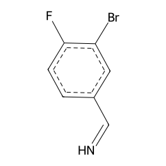 N=Cc1ccc(F)c(Br)c1